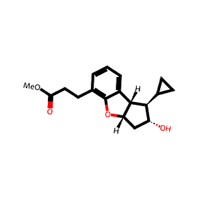 COC(=O)CCc1cccc2c1O[C@H]1C[C@@H](O)[C@H](C3CC3)[C@@H]21